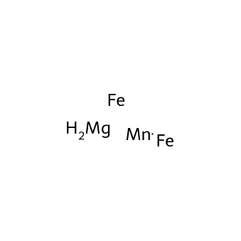 [Fe].[Fe].[MgH2].[Mn]